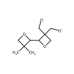 CC1(C)COC1C1OCC1(CCl)CCl